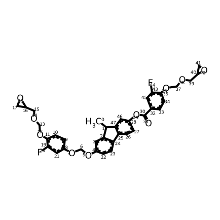 CC1c2cc(OCOc3ccc(OCOCC4CO4)c(F)c3)ccc2-c2ccc(OC(=O)c3ccc(OCOCC4CO4)c(F)c3)cc21